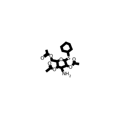 CC(=O)OCC1OC(SC2CCCCC2)C(OC(C)=O)C(N)C1OC(C)=O